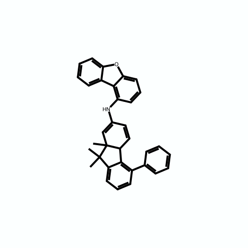 CC1(C)c2cccc(-c3ccccc3)c2C2C=CC(Nc3cccc4oc5ccccc5c34)=CC21C